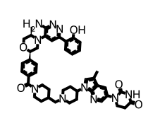 Cc1cn(C2CCN(CC3CCN(C(=O)c4ccc([C@@H]5CN(c6cc(-c7ccccc7O)nnc6N)[C@H](C)CO5)cc4)CC3)CC2)c2ncc(N3CCC(=O)NC3=O)cc12